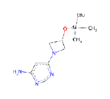 CC(C)(C)[Si](C)(C)OC1CN(c2cc(N)ncn2)C1